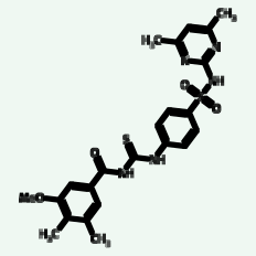 COc1cc(C(=O)NC(=S)Nc2ccc(S(=O)(=O)Nc3nc(C)cc(C)n3)cc2)cc(C)c1C